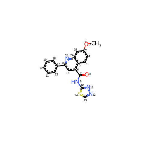 COc1ccc2c(C(=O)Nc3nncs3)cc(-c3ccccc3)nc2c1